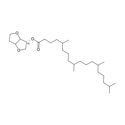 CC(C)CCCC(C)CCCC(C)CCCC(C)CCCC(=O)O[C@@H]1COC2CCOC21